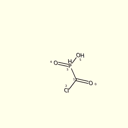 O=C(Cl)[PH](=O)O